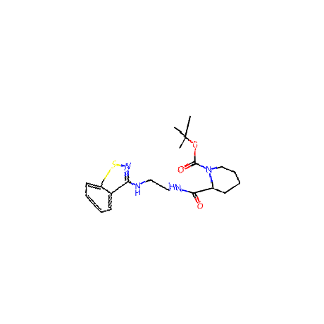 CC(C)(C)OC(=O)N1CCCCC1C(=O)NCCNc1nsc2ccccc12